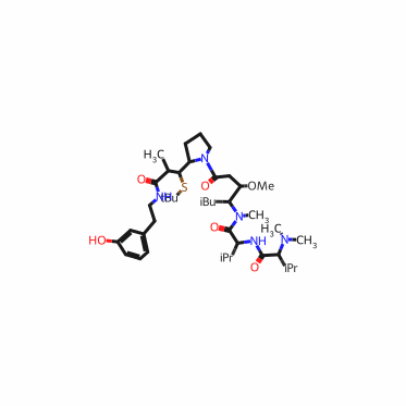 CCC(C)C(C(CC(=O)N1CCCC1C(SC(C)(C)C)C(C)C(=O)NCCc1cccc(O)c1)OC)N(C)C(=O)C(NC(=O)C(C(C)C)N(C)C)C(C)C